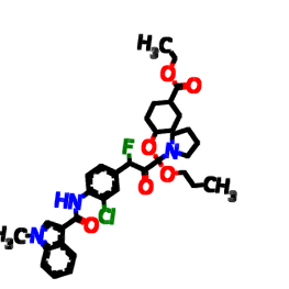 CCCOC(OC1CCC(C(=O)OCC)CC1)(C(=O)C(F)c1ccc(NC(=O)c2cn(C)c3ccccc23)c(Cl)c1)N1CCCC1